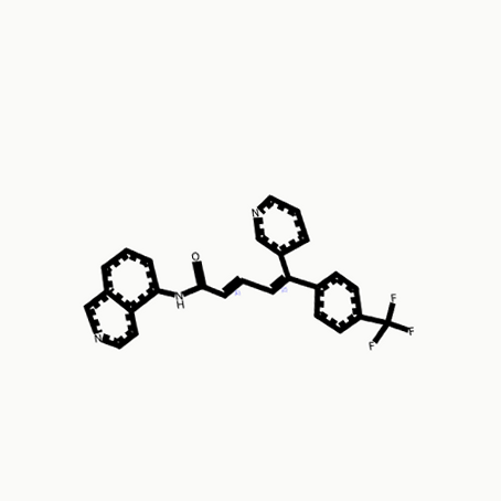 O=C(/C=C/C=C(/c1ccc(C(F)(F)F)cc1)c1cccnc1)Nc1cccc2cnccc12